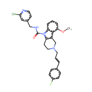 O=C(NCc1ccnc(Cl)c1)n1c2c(c3c(OC(F)(F)F)cccc31)CN(C/C=C/c1ccc(F)cc1)CC2